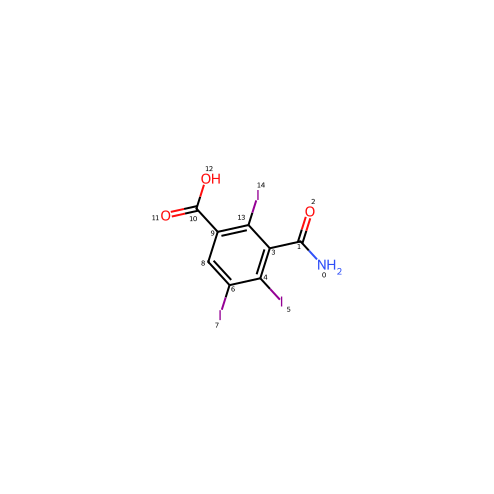 NC(=O)c1c(I)c(I)cc(C(=O)O)c1I